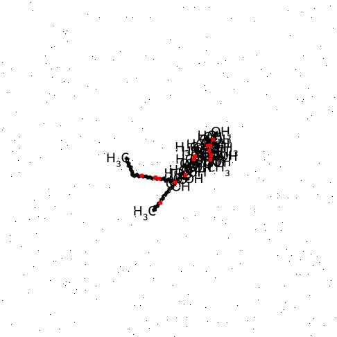 CCCCCCCC/C=C\CCCCCCCCCCCCCCCC(=O)N[C@@H](CO[C@@H]1OC(CO)[C@@H](O[C@@H]2OC(CO)[C@H](O[C@@H]3OC(CO)[C@H](O)[C@H](O[C@@H]4OC(CO)[C@H](O)[C@H](O[C@@H]5OC(CO[C@]6(C(=O)O)CC(O)[C@@H](NC(C)=O)C([C@H](O)[C@H](O)CO)O6)[C@H](O)[C@H](O[C@]6(C(=O)O)CC(O)[C@@H](NC(C)=O)C([C@H](O)[C@H](O)CO)O6)C5O)C4NC(C)=O)C3O)[C@H](O)C2O)[C@H](O)C1O)[C@H](O)/C=C/CCCCCCCCCCCCC